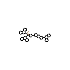 c1ccc2c(c1)cc(-c1ccc3cc4cc(-c5ccc6c(-c7cc8ccccc8c8ccccc78)c(-c7cc8ccccc8c8ccccc78)sc6c5)ccc4cc3c1)c1ccccc12